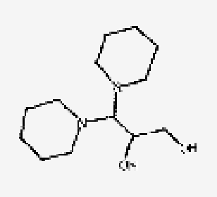 OCC(O)C(N1CCCCC1)N1CCCCC1